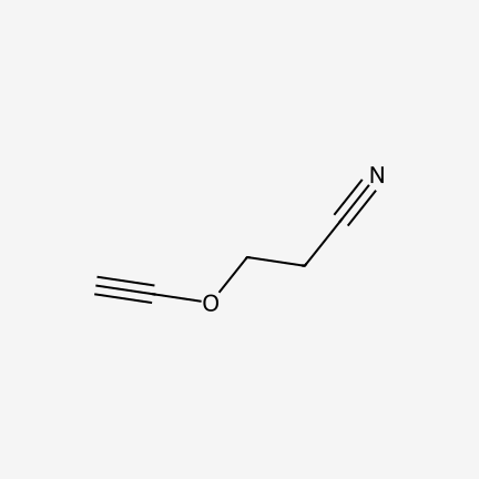 C#COCCC#N